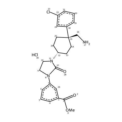 COC(=O)c1cccc(N2CCN([C@H]3CC[C@@](CN)(c4cccc(Cl)c4)CC3)C2=O)c1.Cl